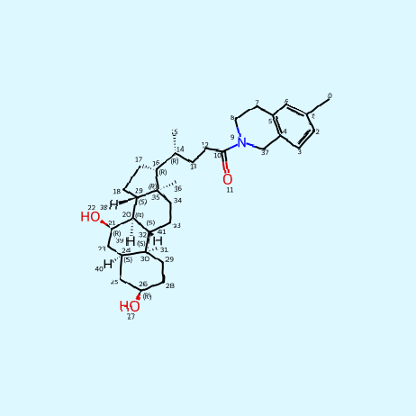 Cc1ccc2c(c1)CCN(C(=O)CC[C@@H](C)[C@H]1CC[C@H]3[C@@H]4[C@H](O)C[C@@H]5C[C@H](O)CC[C@]5(C)[C@H]4CC[C@]13C)C2